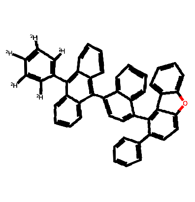 [2H]c1c([2H])c([2H])c(-c2c3ccccc3c(-c3ccc(-c4c(-c5ccccc5)ccc5oc6ccccc6c45)c4ccccc34)c3ccccc23)c([2H])c1[2H]